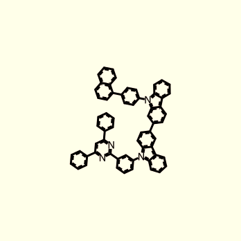 c1ccc(-c2cc(-c3ccccc3)nc(-c3cccc(-n4c5ccccc5c5cc(-c6ccc7c8ccccc8n(-c8ccc(-c9cccc%10ccccc9%10)cc8)c7c6)ccc54)c3)n2)cc1